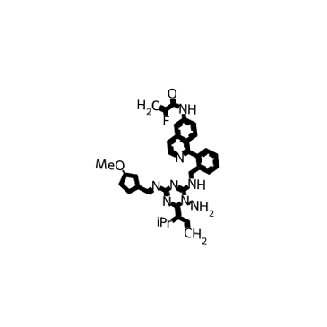 C=C/C(=C1N=C(/N=C/C2CC[C@H](OC)C2)N=C(NCc2ccccc2-c2nccc3cc(NC(=O)C(=C)F)ccc23)N/1N)C(C)C